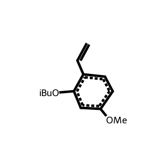 C=Cc1ccc(OC)cc1OCC(C)C